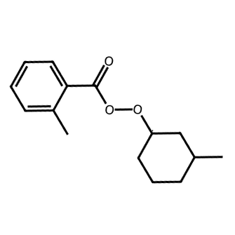 Cc1ccccc1C(=O)OO[C]1CCCC(C)C1